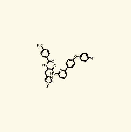 Cn1cnc(CC(NC(=O)c2ccc(C(F)(F)F)cc2)C(=O)Nc2cccc(-c3ccc(Oc4ccc(F)cc4)cc3)n2)c1